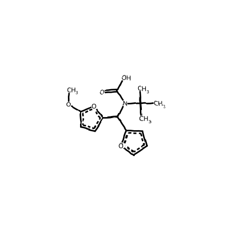 COc1ccc(C(c2ccco2)N(C(=O)O)C(C)(C)C)o1